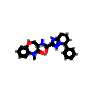 CN1C(=O)[C@@H](NC(=O)c2nc3n(n2)C(c2ccccc2)CCC3)COc2ccccc21